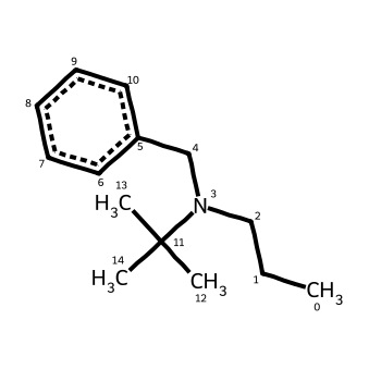 CCCN(Cc1ccccc1)C(C)(C)C